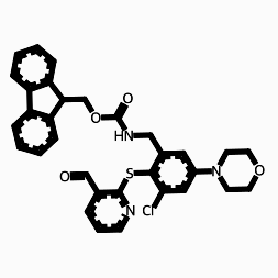 O=Cc1cccnc1Sc1c(Cl)cc(N2CCOCC2)cc1CNC(=O)OCC1c2ccccc2-c2ccccc21